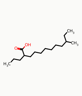 CCCC(CCCCCCCC(C)CC)C(=O)O